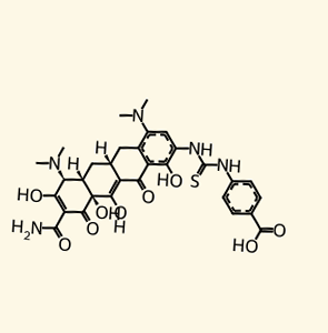 CN(C)c1cc(NC(=S)Nc2ccc(C(=O)O)cc2)c(O)c2c1C[C@H]1C[C@H]3[C@H](N(C)C)C(O)=C(C(N)=O)C(=O)[C@@]3(O)C(O)=C1C2=O